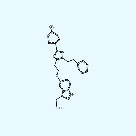 O=C(O)Cc1c[nH]c2ccc(OCCc3sc(-c4ccc(C(F)(F)F)cc4)nc3CCc3ccccc3)cc12